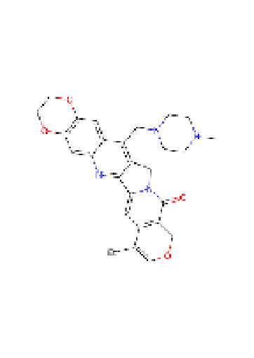 CCC1=COCc2c1cc1n(c2=O)Cc2c-1nc1cc3c(cc1c2CN1CCN(C)CC1)OCCO3